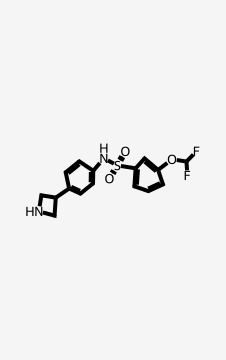 O=S(=O)(Nc1ccc(C2CNC2)cc1)c1cccc(OC(F)F)c1